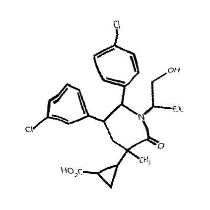 CCC(CO)N1C(=O)C(C)(C2CC2C(=O)O)CC(c2cccc(Cl)c2)C1c1ccc(Cl)cc1